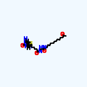 CC(=O)CCCCCCCCCCCNC(=O)CN(C)C(=O)CCCC[C@@H]1SC[C@@H]2NC(=O)N[C@@H]21